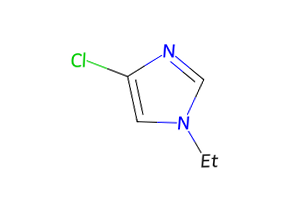 CCn1cnc(Cl)c1